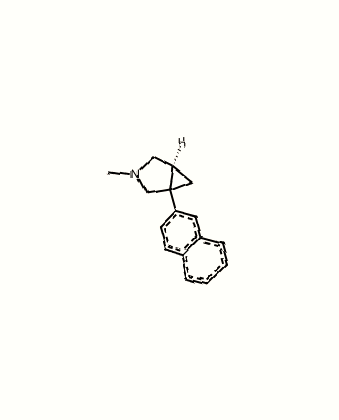 CN1C[C@H]2CC2(c2ccc3ccccc3c2)C1